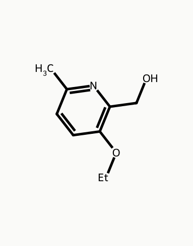 CCOc1ccc(C)nc1CO